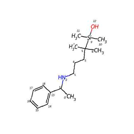 CC(NCCCC(C)(C)[Si](C)(C)O)c1ccccc1